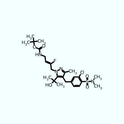 Cc1nn(C/C(F)=C/CNC(=O)OC(C)(C)C)c(C(C)(C)O)c1Cc1ccc(S(=O)(=O)N(C)C)c(Cl)c1